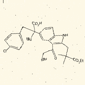 CCOC(=O)C(C)(C)Cc1[nH]c2ccc(C(Cc3ccc(Cl)cc3)(C(=O)O)C(C)(C)C)cc2c1C(=O)CC(C)(C)C